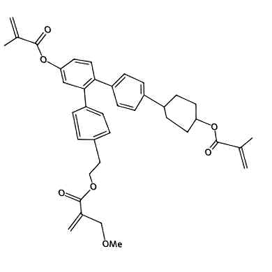 C=C(C)C(=O)Oc1ccc(-c2ccc(C3CCC(OC(=O)C(=C)C)CC3)cc2)c(-c2ccc(CCOC(=O)C(=C)COC)cc2)c1